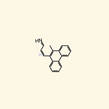 Cc1c(/C=C\C=N)c2ccccc2c2ccccc12